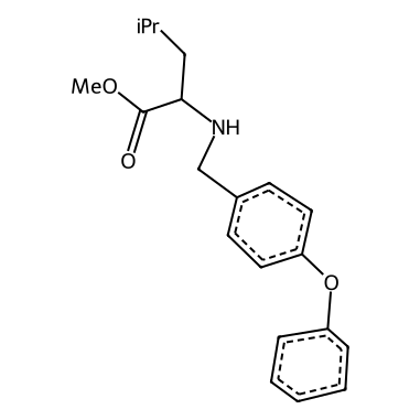 COC(=O)C(CC(C)C)NCc1ccc(Oc2ccccc2)cc1